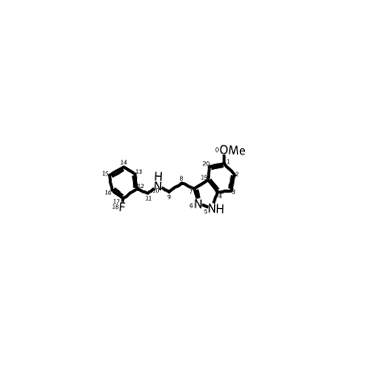 COc1ccc2[nH]nc(CCNCc3ccccc3F)c2c1